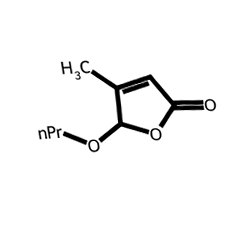 CCCOC1OC(=O)C=C1C